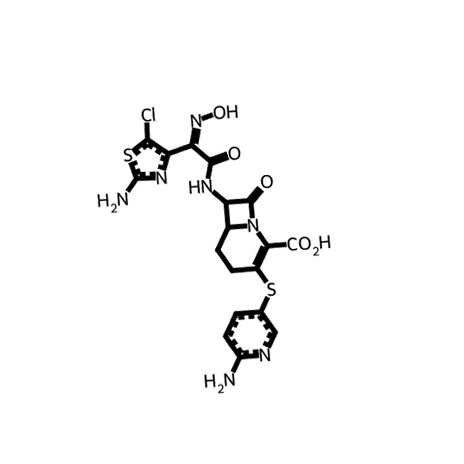 Nc1ccc(SC2=C(C(=O)O)N3C(=O)C(NC(=O)/C(=N\O)c4nc(N)sc4Cl)C3CC2)cn1